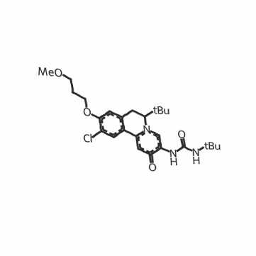 COCCCOc1cc2c(cc1Cl)-c1cc(=O)c(NC(=O)NC(C)(C)C)cn1C(C(C)(C)C)C2